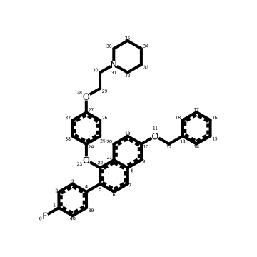 Fc1ccc(-c2ccc3cc(OCc4ccccc4)ccc3c2Oc2ccc(OCCN3CCCCC3)cc2)cc1